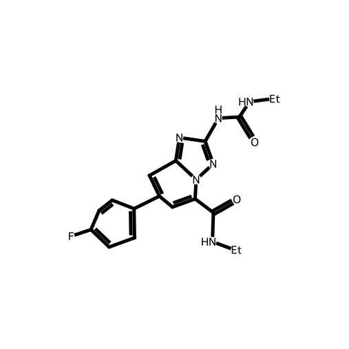 CCNC(=O)Nc1nc2cc(-c3ccc(F)cc3)cc(C(=O)NCC)n2n1